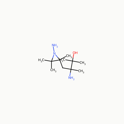 CC(C)(O)C(C)(N)CC1(C)N(N)C1(C)C